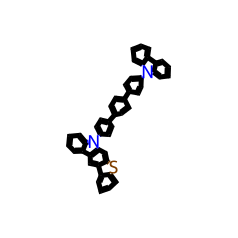 c1ccc2c(c1)sc1cc3c(cc12)c1ccccc1n3-c1ccc(-c2ccc(-c3ccc(-n4c5ccccc5c5ccccc54)cc3)cc2)cc1